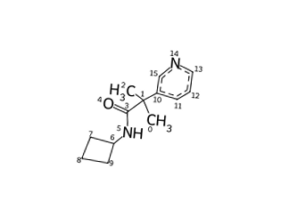 CC(C)(C(=O)NC1CCC1)c1cccnc1